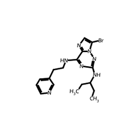 CCC(CC)Nc1nc(NCCc2cccnc2)c2ncc(Br)n2n1